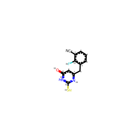 N#Cc1cccc(Cc2cc(=O)[nH]c(S)n2)c1F